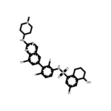 CCc1cc(-c2c(F)ccc(NS(=O)(=O)c3cc(Cl)cc4c3CCCC4O)c2F)cc2cnc(NC3CCN(C)CC3)nc12